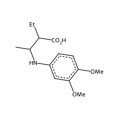 CCC(C(=O)O)C(C)Nc1ccc(OC)c(OC)c1